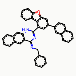 N/C(=N\C(=N/Cc1ccccc1)c1ccc2ccccc2c1)c1cc(-c2ccc3ccccc3c2)cc2oc3ccccc3c12